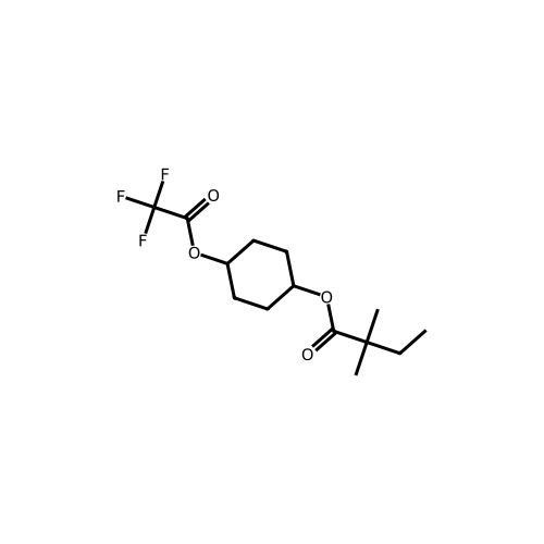 CCC(C)(C)C(=O)OC1CCC(OC(=O)C(F)(F)F)CC1